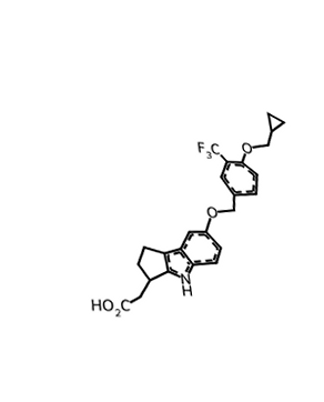 O=C(O)CC1CCc2c1[nH]c1ccc(OCc3ccc(OCC4CC4)c(C(F)(F)F)c3)cc21